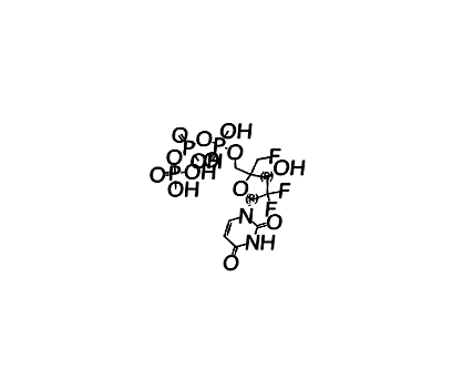 O=c1ccn([C@@H]2OC(CF)(COP(=O)(O)OP(=O)(O)OP(=O)(O)O)[C@@H](O)C2(F)F)c(=O)[nH]1